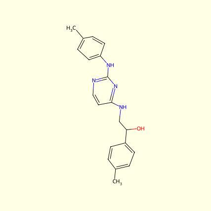 Cc1ccc(Nc2nccc(NCC(O)c3ccc(C)cc3)n2)cc1